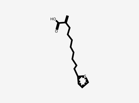 C=C(CCCCCCCCc1cccs1)C(=O)O